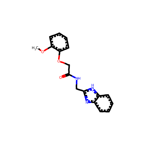 COc1ccccc1OCC(=O)NCc1nc2ccccc2[nH]1